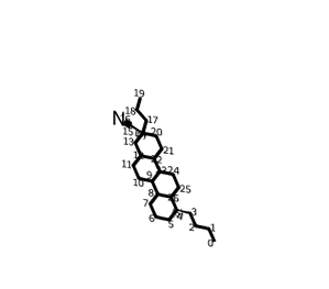 CCCC[C@H]1CCCC2C3CCC4C[C@](C#N)(CCC)CCC4C3CCC21